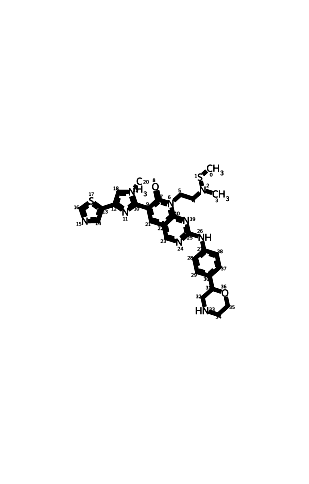 CSN(C)CCn1c(=O)c(-c2nc(-c3cncs3)cn2C)cc2cnc(Nc3ccc(C4CNCCO4)cc3)nc21